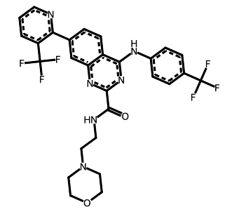 O=C(NCCN1CCOCC1)c1nc(Nc2ccc(C(F)(F)F)cc2)c2ccc(-c3ncccc3C(F)(F)F)cc2n1